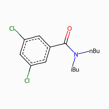 CCCCN(C(=O)c1cc(Cl)cc(Cl)c1)C(C)CC